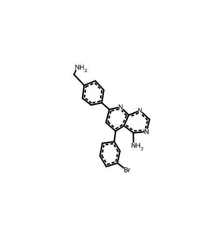 NCc1ccc(-c2cc(-c3cccc(Br)c3)c3c(N)ncnc3n2)cc1